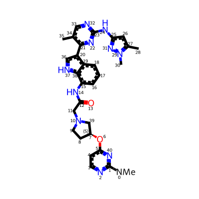 CNc1nccc(O[C@H]2CCN(CC(=O)Nc3cccc4c(-c5nc(Nc6cc(C)n(C)n6)ncc5C)c[nH]c34)C2)n1